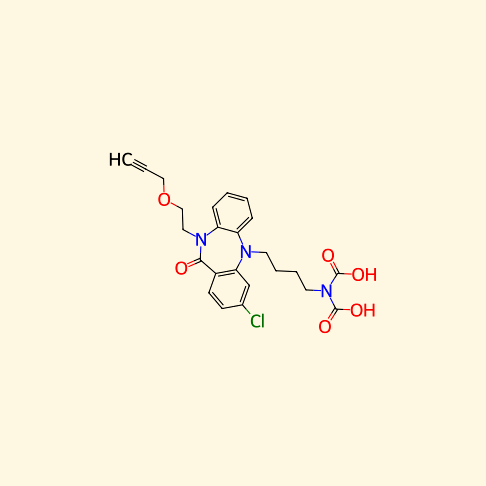 C#CCOCCN1C(=O)c2ccc(Cl)cc2N(CCCCN(C(=O)O)C(=O)O)c2ccccc21